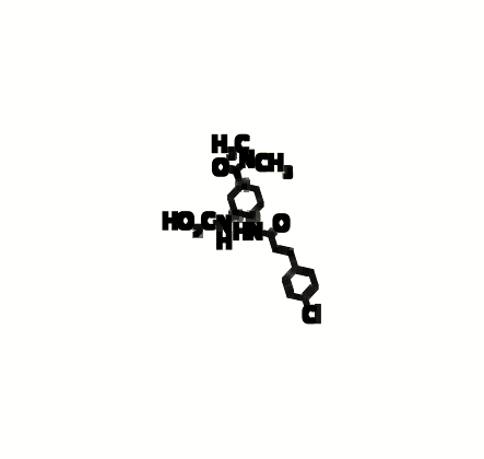 CN(C)C(=O)[C@H]1CC[C@H](NC(=O)C=Cc2ccc(Cl)cc2)[C@H](NC(=O)O)C1